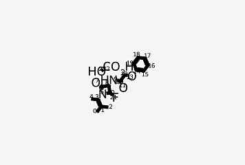 CC(C)=C(C)N1C(=O)C(NC(=O)COc2ccccc2)C1F.O=C(O)O